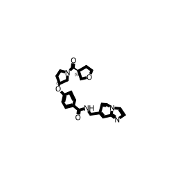 O=C(NCc1ccn2ccnc2c1)c1ccc(O[C@H]2CCN(C(=O)[C@H]3CCOC3)C2)cc1